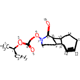 CC(C)OC(=O)ON1CC2C3C=CCCC3C2C1=O